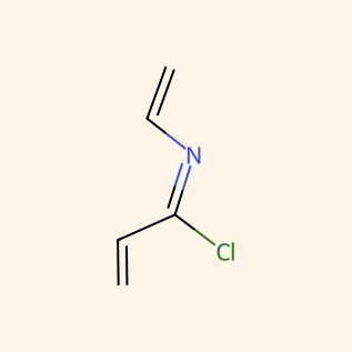 C=C/N=C(/Cl)C=C